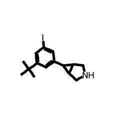 CC(C)(C)c1cc(I)cc(C2C3CNCC32)c1